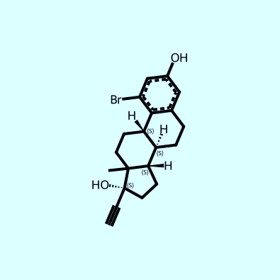 C#C[C@]1(O)CC[C@H]2[C@@H]3CCc4cc(O)cc(Br)c4[C@H]3CCC21C